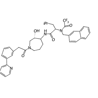 CC(C)CC(C(=O)NC1CCCN(C(=O)Cc2cccc(-c3ccccn3)c2)C[C@@H]1O)N(Cc1ccc2ccccc2c1)C(=O)C(F)(F)F